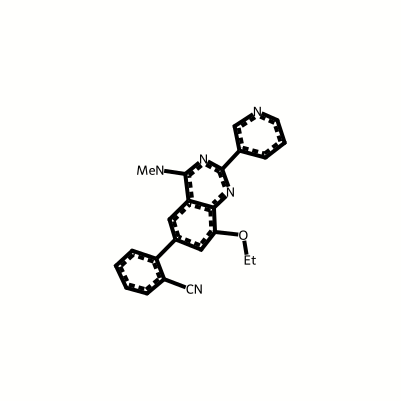 CCOc1cc(-c2ccccc2C#N)cc2c(NC)nc(-c3cccnc3)nc12